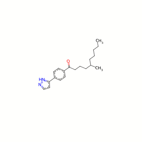 CCCCCC(C)CCCC(=O)c1ccc(-c2ccn[nH]2)cc1